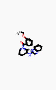 CCOc1ccccc1C(=O)N1CCCC(Nc2cnc3ccccc3n2)[C@@H]1C